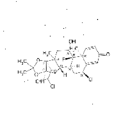 CC1(C)O[C@@H]2C[C@H]3[C@@H]4C[C@H](Cl)C5=CC(=O)C=C[C@]5(C)[C@@]4(F)[C@@H](O)C[C@]3(C)[C@]2(C(=O)C(Cl)Cl)O1